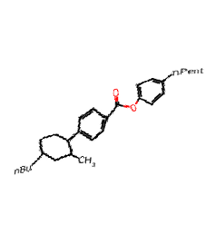 CCCCCc1ccc(OC(=O)c2ccc(C3CCC(CCCC)CC3C)cc2)cc1